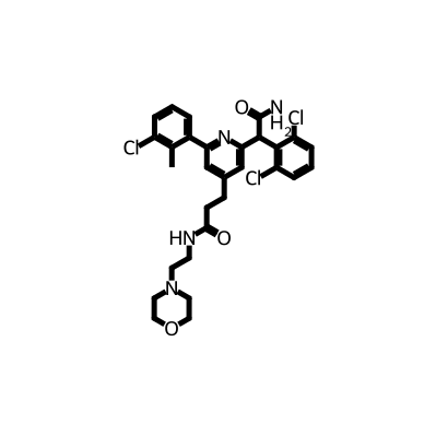 Cc1c(Cl)cccc1-c1cc(CCC(=O)NCCN2CCOCC2)cc(C(C(N)=O)c2c(Cl)cccc2Cl)n1